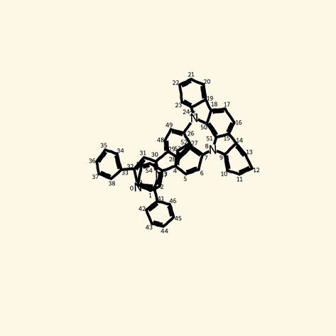 c1ccc(-c2ccc(-n3c4ccccc4c4ccc5c6ccccc6n(-c6ccc(-c7cc(-c8ccccc8)nc(-c8ccccc8)n7)cc6)c5c43)cc2)cc1